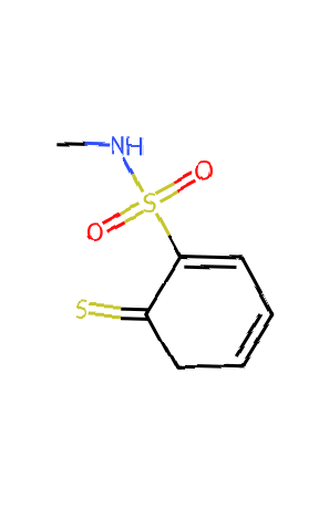 CNS(=O)(=O)C1=CC=CCC1=S